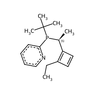 CCC1=C([C@H](C)P(c2ccccn2)C(C)(C)C)C=C1